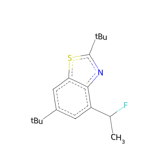 CC(F)c1cc(C(C)(C)C)cc2sc(C(C)(C)C)nc12